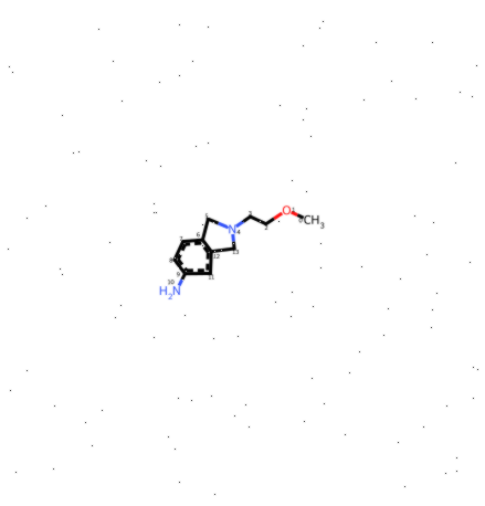 COCCN1Cc2ccc(N)cc2C1